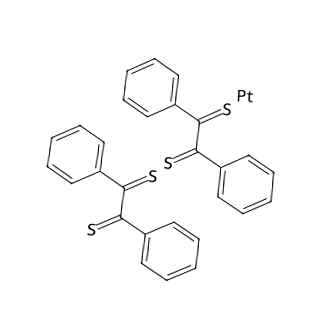 S=C(C(=S)c1ccccc1)c1ccccc1.S=C(C(=S)c1ccccc1)c1ccccc1.[Pt]